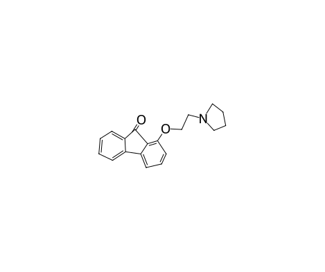 O=C1c2ccccc2-c2cccc(OCCN3CCCC3)c21